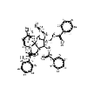 CC(=O)/C=C\N(C(C)=O)[C@]1(C)O[C@@](COC(=O)c2ccccc2)(N=[N+]=[N-])[C@@H](OC(=O)c2ccccc2)[C@H]1OC(=O)c1ccccc1